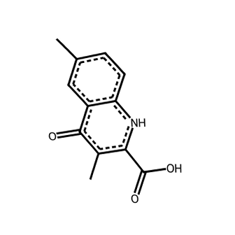 Cc1ccc2[nH]c(C(=O)O)c(C)c(=O)c2c1